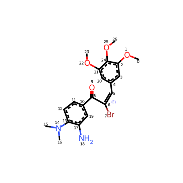 COc1cc(/C=C(/Br)C(=O)c2ccc(N(C)C)c(N)c2)cc(OC)c1OC